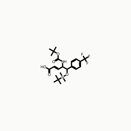 CC(C)(C)OC(=O)NC(/C=C/C(=O)O)C(O[Si](C)(C)C(C)(C)C)c1ccc(C(F)(F)F)cc1